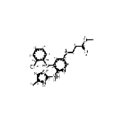 COC(=O)CCSc1cnc(Nc2nc(C)cs2)c(Sc2ccccc2Cl)c1